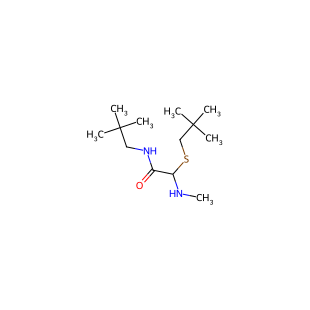 CNC(SCC(C)(C)C)C(=O)NCC(C)(C)C